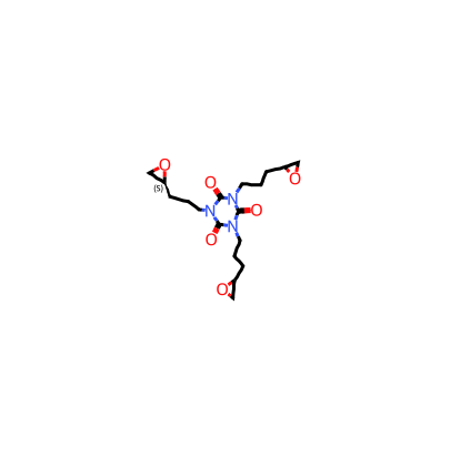 O=c1n(CCCC2CO2)c(=O)n(CCC[C@H]2CO2)c(=O)n1CCCC1CO1